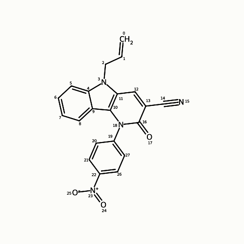 C=CCn1c2ccccc2c2c1cc(C#N)c(=O)n2-c1ccc([N+](=O)[O-])cc1